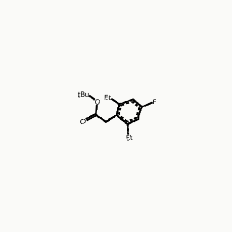 CCc1cc(F)cc(CC)c1CC(=O)OC(C)(C)C